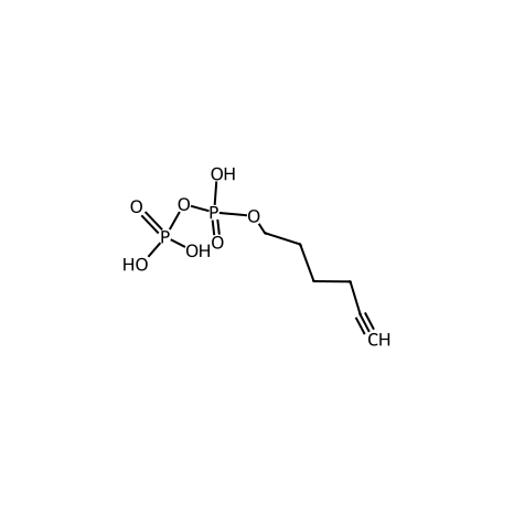 C#CCCCCOP(=O)(O)OP(=O)(O)O